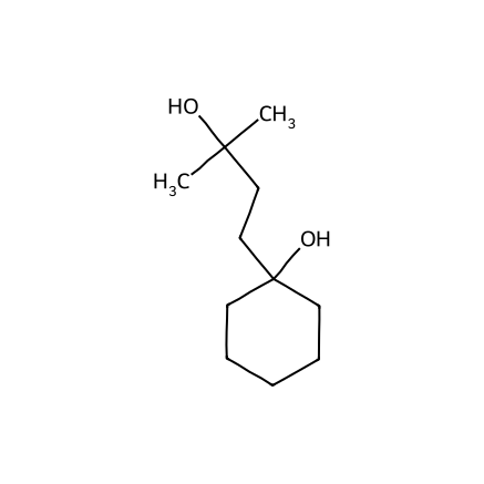 CC(C)(O)CCC1(O)CCCCC1